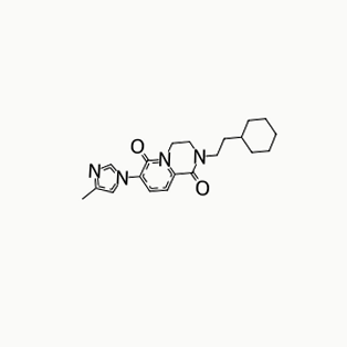 Cc1cn(-c2ccc3n(c2=O)CCN(CCC2CCCCC2)C3=O)cn1